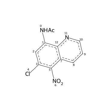 CC(=O)Nc1cc(Cl)c([N+](=O)[O-])c2cccnc12